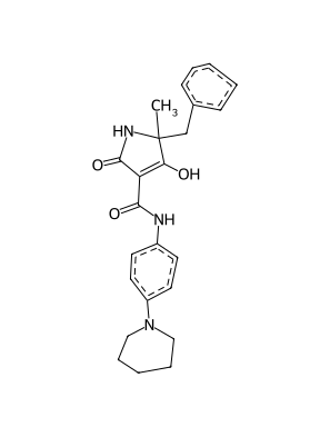 CC1(Cc2ccccc2)NC(=O)C(C(=O)Nc2ccc(N3CCCCC3)cc2)=C1O